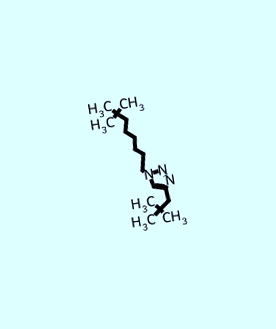 CC(C)(C)CCCCCCn1cc(CC(C)(C)C)nn1